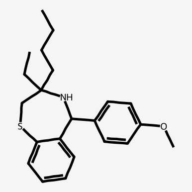 CCCCC1(CC)CSc2ccccc2C(c2ccc(OC)cc2)N1